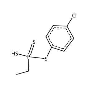 CCP(=S)(S)Sc1ccc(Cl)cc1